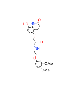 COc1ccc(OCCNCC(O)COc2ccc(O)c3c2CCC(=O)N3)cc1OC